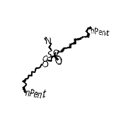 CCCCC/C=C\C/C=C\CCCCCCCCOC(=O)CC(SCCCN(C)C)C(=O)OCCCCCCCC/C=C\C/C=C\CCCCC